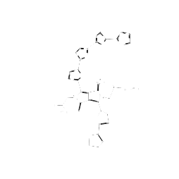 CCCCCCCCC(CCCCCC)CN1C(=O)C2=C(C3CC=C(C4=CCCS4)S3)N(CC(CCCCCC)CCCCCCCC)C(=O)C2=C1c1ccc(-c2ccc(-c3ccc(-c4cccs4)s3)s2)s1